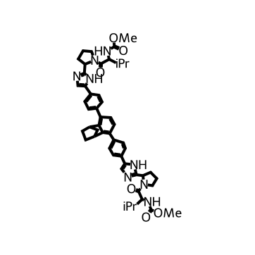 COC(=O)NC(C(=O)N1CCCC1c1ncc(-c2ccc(-c3ccc(-c4ccc(-c5cnc(C6CCCN6C(=O)C(NC(=O)OC)C(C)C)[nH]5)cc4)c4c3C3CCC4C3)cc2)[nH]1)C(C)C